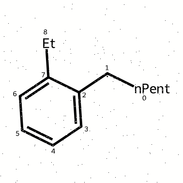 CCCCC[CH]c1ccccc1CC